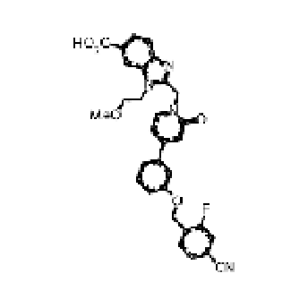 COCCn1c(Cn2ccc(-c3cccc(OCc4ccc(C#N)cc4F)c3)cc2=O)nc2ccc(C(=O)O)cc21